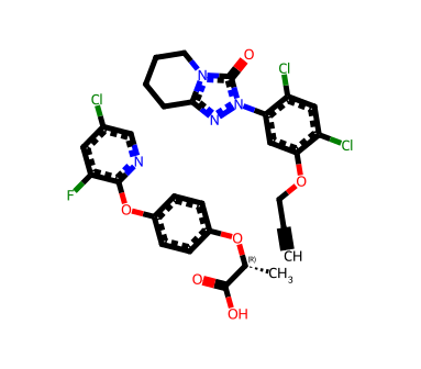 C#CCOc1cc(-n2nc3n(c2=O)CCCC3)c(Cl)cc1Cl.C[C@@H](Oc1ccc(Oc2ncc(Cl)cc2F)cc1)C(=O)O